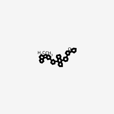 CC1(C)c2ccc(-c3cccc(-c4c5ccccc5c(-c5cccc(-c6ccc7oc8ccccc8c7c6)c5)c5ccccc45)c3)cc2-c2c1ccc1ccccc21